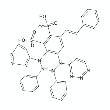 O=S(=O)(O)c1c(C=Cc2ccccc2)cc(N(Nc2ccccc2)c2ccnnn2)c(N(Nc2ccccc2)c2ccnnn2)c1S(=O)(=O)O